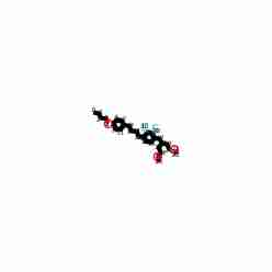 CCCCOc1ccc(CCCCc2ccc(CC(CCOC)CCOC)c(F)c2F)cc1